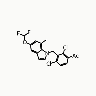 CC(=O)c1ccc(Cl)c(Cn2ccc3cc(OC(F)F)cc(C)c32)c1Cl